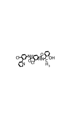 C[C@@H](NC(=O)c1ccc(C(=O)Nc2ccc(Cl)c(-c3ccccn3)c2)c(Cl)c1)c1ccccc1O